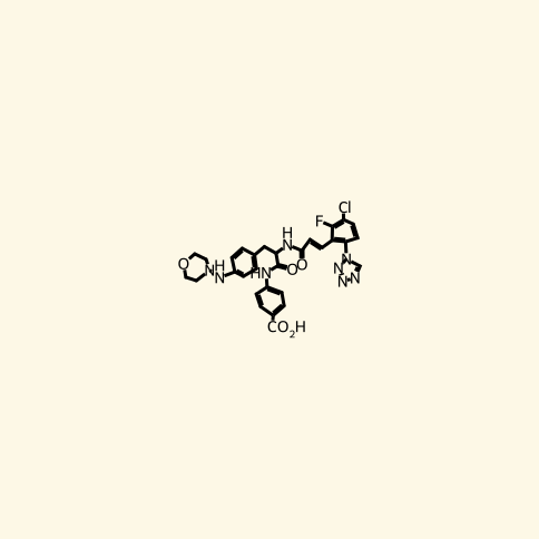 O=C(C=Cc1c(-n2cnnn2)ccc(Cl)c1F)NC(Cc1ccc(NN2CCOCC2)cc1)C(=O)Nc1ccc(C(=O)O)cc1